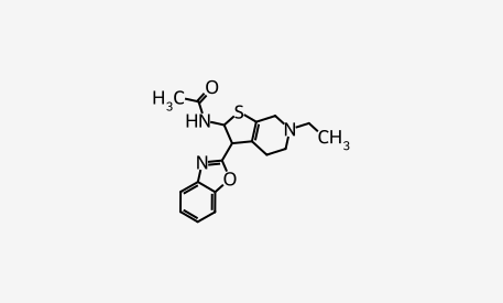 CCN1CCC2=C(C1)SC(NC(C)=O)C2c1nc2ccccc2o1